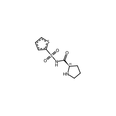 O=C(NS(=O)(=O)c1cccs1)[C@H]1CCCN1